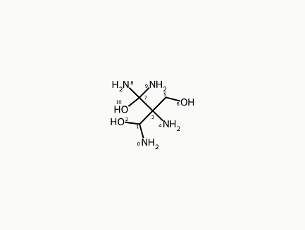 NC(O)C(N)(CO)C(N)(N)O